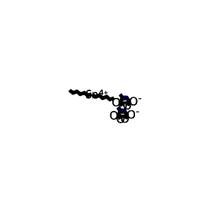 C/C(=C/C(=O)[O-])C(=O)[O-].C/C(=C/C(=O)[O-])C(=O)[O-].CCCCC[CH2][Sn+4][CH2]CCCCC